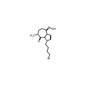 CN1CC/C(=N/O)C2C=CN(CCCCBr)C2C1=O